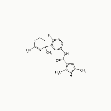 Cc1cc(C(=O)Nc2ccc(F)c(C3(C)CCSC(N)=N3)c2)c(C)[nH]1